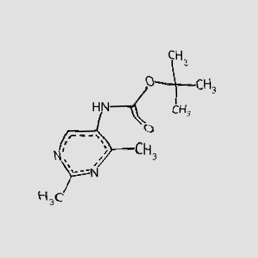 Cc1ncc(NC(=O)OC(C)(C)C)c(C)n1